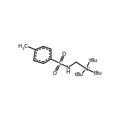 Cc1ccc(S(=O)(=O)NC[N+](C(C)(C)C)(C(C)(C)C)C(C)(C)C)cc1